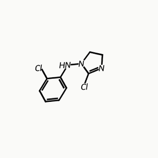 ClC1=NCCN1Nc1ccccc1Cl